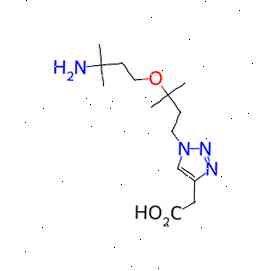 CC(C)(N)CCOC(C)(C)CCn1cc(CC(=O)O)nn1